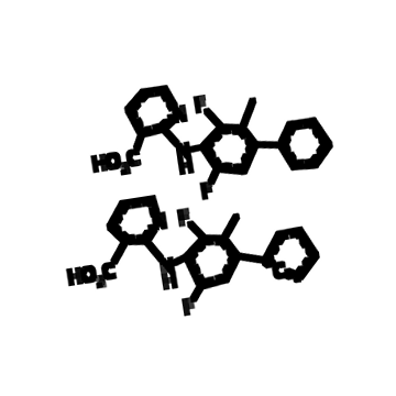 Cc1c(-c2ccccc2)cc(F)c(Nc2ncccc2C(=O)O)c1F.Cc1c(-c2ccccc2)cc(F)c(Nc2ncccc2C(=O)O)c1F